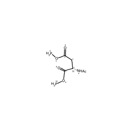 CC(=O)N[C@@H](CC(=O)OP)C(=O)OP